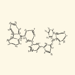 c1cc(-c2cncc(-c3cccc(-n4c5ccccc5c5ccccc54)c3)n2)cc(-n2c3ccccc3c3ccccc32)c1